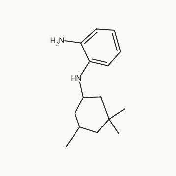 CC1CC(Nc2ccccc2N)CC(C)(C)C1